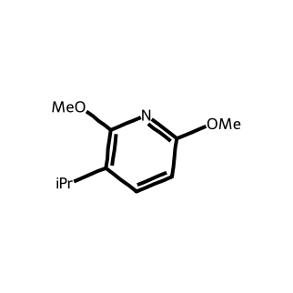 COc1ccc(C(C)C)c(OC)n1